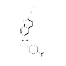 CCOc1ccc2cc(S(=O)(=O)NC3CCC(C(=O)O)CC3)ccc2n1